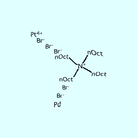 CCCCCCCC[N+](CCCCCCCC)(CCCCCCCC)CCCCCCCC.[Br-].[Br-].[Br-].[Br-].[Br-].[Pd].[Pt+4]